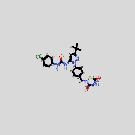 CC(C)(C)c1cc(NC(=O)Nc2ccc(Cl)cc2)n(-c2ccc(Cn3sc(=O)[nH]c3=O)cc2)n1